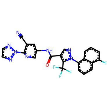 N#Cc1cc(NC(=O)c2cnn(-c3cccc4c(F)cccc34)c2C(F)(F)F)cnc1-n1nccn1